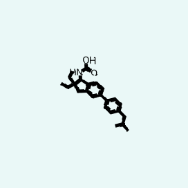 CCC1(CC)Cc2cc(-c3ccc(CC(C)C)cc3)ccc2C1NC(=O)O